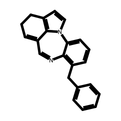 C1=Nc2c(Cc3ccccc3)cccc2-n2ccc3c2C1=CCC3